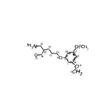 COc1cc(OC)cc(OCCCC([C]=O)CN)c1